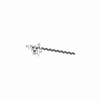 CCCCCCCCCCCCCCCCCCNNc1nc(N)nc(N)n1